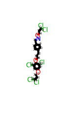 ClC(Cl)=CCON=Cc1ccc(CCCOc2c(Cl)cc(OCC=C(Cl)Cl)cc2Cl)cc1